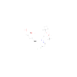 CCC1(C(CCCN2CC[C@@H](Cl)[C@@H]2CC=CCCC(C)C(=O)O)O[Si](C)(C)C(C)(C)C)CCC1